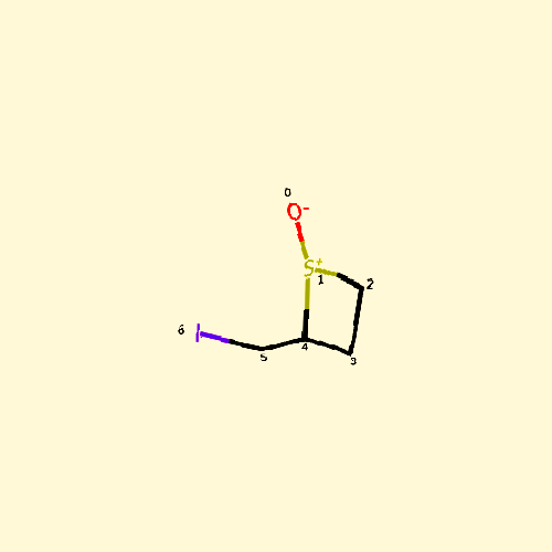 [O-][S+]1CCC1[CH]I